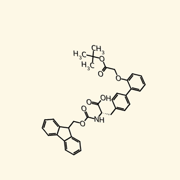 CC(C)(C)OC(=O)COc1ccccc1-c1ccc(C[C@H](NC(=O)OCC2c3ccccc3-c3ccccc32)C(=O)O)cc1